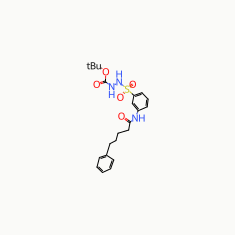 CC(C)(C)OC(=O)NNS(=O)(=O)c1cccc(NC(=O)CCCCc2ccccc2)c1